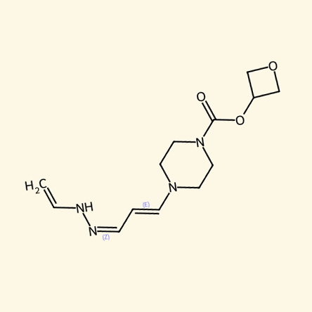 C=CN/N=C\C=C\N1CCN(C(=O)OC2COC2)CC1